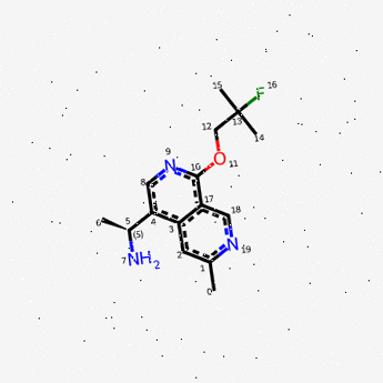 Cc1cc2c([C@H](C)N)cnc(OCC(C)(C)F)c2cn1